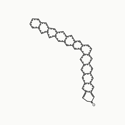 O=C1C=c2cc3cc4cc5cc6ccc7cc8cc9cc%10cc%11cc%12ccccc%12cc%11cc%10cc9cc8cc7c6cc5cc4cc3cc2=CC1